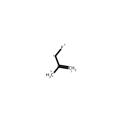 [CH2]C(=C)CF